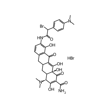 Br.CN(C)c1ccc(C(Br)C(=O)Nc2ccc3c(c2O)C(=O)C2=C(O)[C@]4(O)C(=O)C(C(N)=O)=C(O)[C@@H](N(C)C)C4CC2C3)cc1